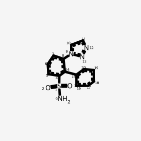 NS(=O)(=O)c1cccc(-n2ccnn2)c1-c1ccccc1